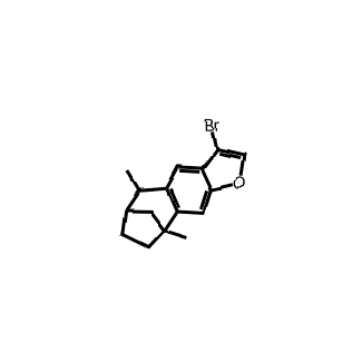 CC1c2cc3c(Br)coc3cc2C2(C)CCC1C2